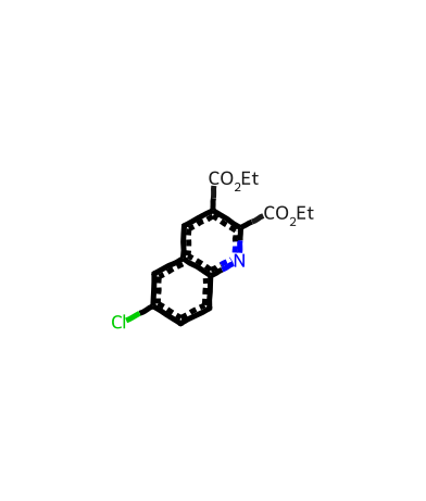 CCOC(=O)c1cc2cc(Cl)ccc2nc1C(=O)OCC